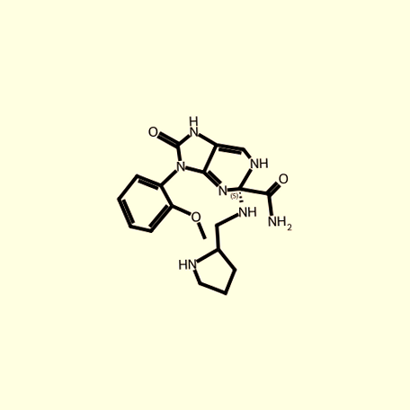 COc1ccccc1-n1c(=O)[nH]c2c1=N[C@](NCC1CCCN1)(C(N)=O)NC=2